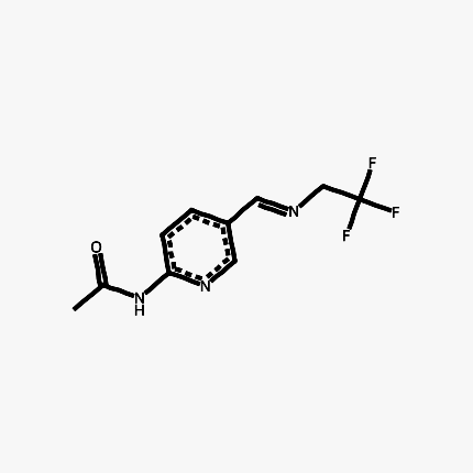 CC(=O)Nc1ccc(C=NCC(F)(F)F)cn1